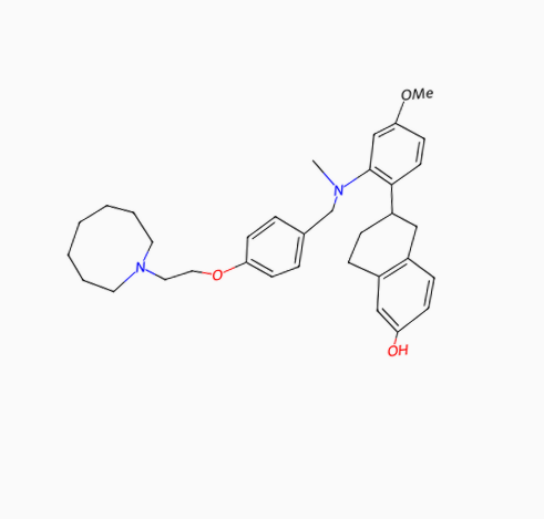 COc1ccc(C2CCc3cc(O)ccc3C2)c(N(C)Cc2ccc(OCCN3CCCCCCC3)cc2)c1